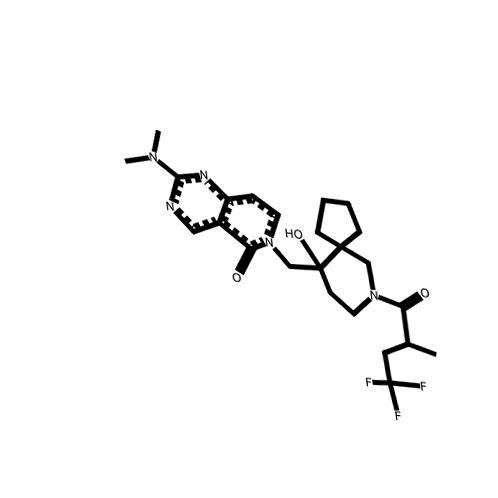 CC(CC(F)(F)F)C(=O)N1CCC(O)(Cn2ccc3nc(N(C)C)ncc3c2=O)C2(CCCC2)C1